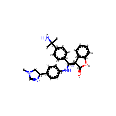 CN1C=NC(c2ccc(N/C(=C3\C(=O)Oc4ccccc43)c3ccc(C(C)(C)N)cc3)cc2)C1